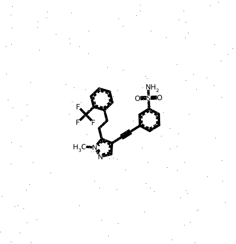 Cn1ncc(C#Cc2cccc(S(N)(=O)=O)c2)c1CCc1ccccc1C(F)(F)F